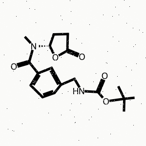 CN(C(=O)c1cccc(CNC(=O)OC(C)(C)C)c1)[C@@H]1CCC(=O)O1